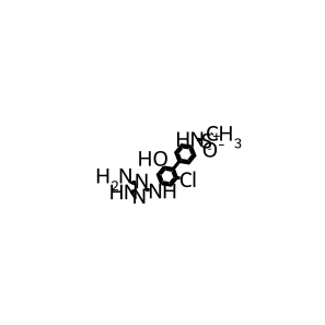 C[S+]([O-])Nc1ccc(-c2c(O)cc(Nc3n[nH]c(N)n3)cc2Cl)cc1